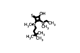 CCN(C)C1=C(N(C)CCC(C)(C)C)C(=S)C1O